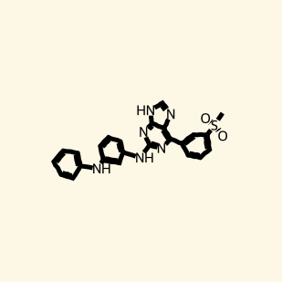 CS(=O)(=O)c1cccc(-c2nc(Nc3cccc(Nc4ccccc4)c3)nc3[nH]cnc23)c1